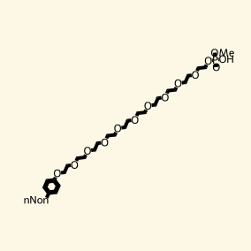 CCCCCCCCCc1ccc(OCCOCCOCCOCCOCCOCCOCCOCCOCCOCCOP(=O)(O)OC)cc1